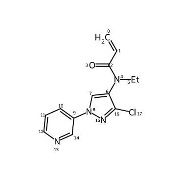 C=CC(=O)N(CC)c1cn(-c2cccnc2)nc1Cl